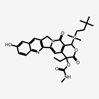 CCC1(OC(=O)NC)C(=O)OC([Si](C)(C)CCC(C)(C)C)c2c1cc1n(c2=O)Cc2cc3cc(O)ccc3nc2-1